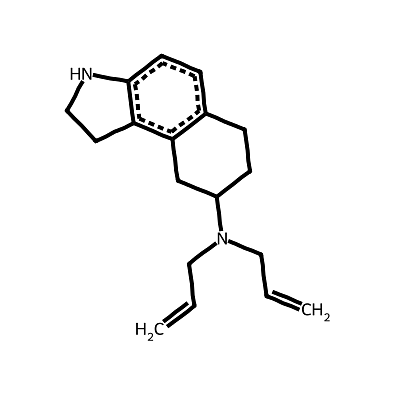 C=CCN(CC=C)C1CCc2ccc3c(c2C1)CCN3